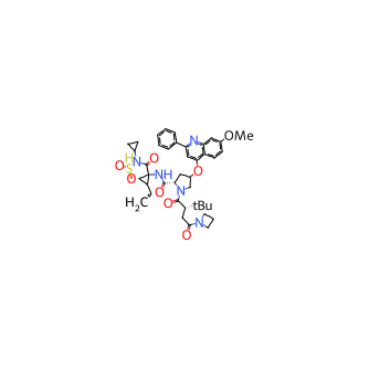 C=CC1C[C@]1(NC(=O)[C@@H]1C[C@@H](Oc2cc(-c3ccccc3)nc3cc(OC)ccc23)CN1C(=O)[C@@H](CC(=O)N1CCC1)C(C)(C)C)C(=O)N(C1CC1)[SH](=O)=O